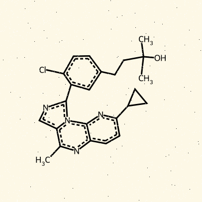 Cc1nc2ccc(C3CC3)nc2n2c(-c3cc(CCC(C)(C)O)ccc3Cl)ncc12